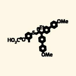 CCOC(CSc1ccc(OCC(=O)O)c(C)c1)=C(c1ccc(-c2ccc(OC)cc2)cc1)c1ccc(-c2ccc(OC)cc2)cc1